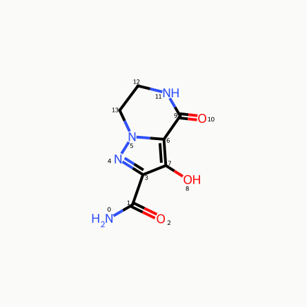 NC(=O)c1nn2c(c1O)C(=O)NCC2